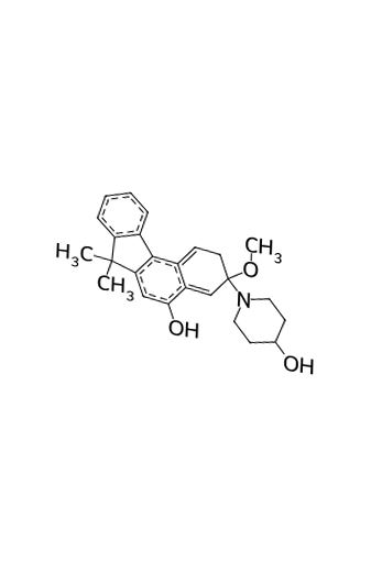 COC1(N2CCC(O)CC2)C=c2c(O)cc3c(c2=CC1)-c1ccccc1C3(C)C